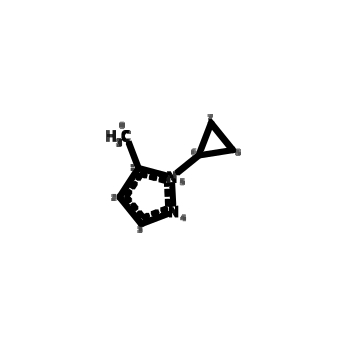 Cc1ccnn1C1CC1